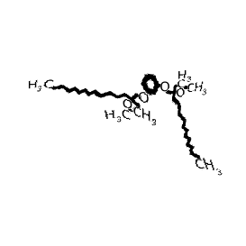 CCCCCCCCCCCCCC(CC)(COc1cccc(OCC(CC)(CCCCCCCCCCCCC)OCC)c1)OCC